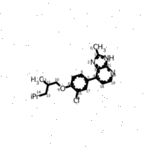 Cc1nc2c(-c3ccc(OCC(C)CC(C)C)c(Cl)c3)ccnc2[nH]1